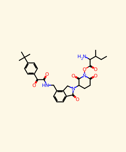 CCC(C)C(N)C(=O)ON1C(=O)CCC(N2Cc3c(CNC(=O)C(=O)c4ccc(C(C)(C)C)cc4)cccc3C2=O)C1=O